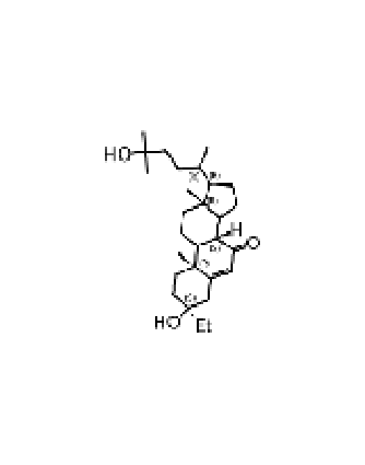 CC[C@]1(O)CC[C@@]2(C)C(=CC(=O)[C@@H]3C2CC[C@@]2(C)C3CC[C@@H]2[C@H](C)CCC(C)(C)O)C1